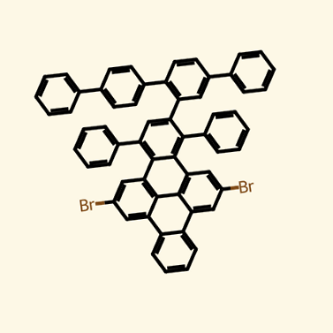 Brc1cc2c3ccccc3c3cc(Br)cc4c5c(-c6ccccc6)c(-c6cc(-c7ccccc7)ccc6-c6ccc(-c7ccccc7)cc6)cc(-c6ccccc6)c5c(c1)c2c34